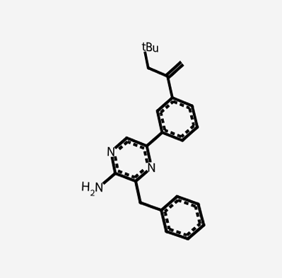 C=C(CC(C)(C)C)c1cccc(-c2cnc(N)c(Cc3ccccc3)n2)c1